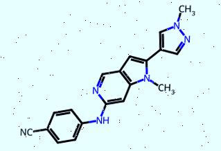 Cn1cc(-c2cc3cnc(Nc4ccc(C#N)cc4)cc3n2C)cn1